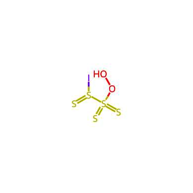 OOS(=S)(=S)S(=S)I